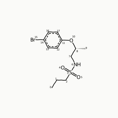 CCCS(=O)(=O)NC[C@@H](C)Oc1ccc(Br)cc1